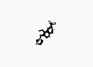 CCC1=C(Cn2ccnc2)CCc2ccc(C(=O)O)cc21